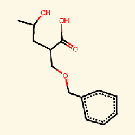 CC(O)CC(COCc1ccccc1)C(=O)O